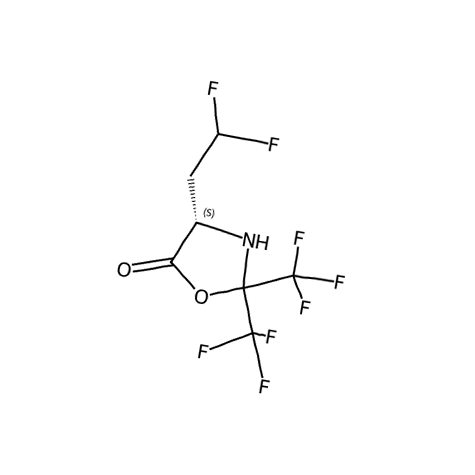 O=C1OC(C(F)(F)F)(C(F)(F)F)N[C@H]1CC(F)F